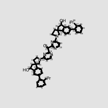 CC(C)c1ccccc1-c1ccc2c(c1)C(O)CC21CCN(c2ccnc(C(=O)c3nccc(N4CCC5(CC(O)c6cc(-c7ccccc7C(C)C)ccc65)C4)n3)n2)C1